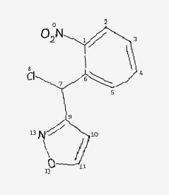 O=[N+]([O-])c1ccccc1C(Cl)c1ccon1